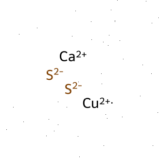 [Ca+2].[Cu+2].[S-2].[S-2]